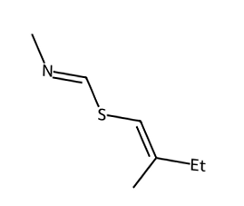 CC/C(C)=C/S/C=N/C